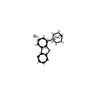 [Br-].c1ccc2c(c1)Cc1c-2cccc1[N+]12CCC(CC1)CC2